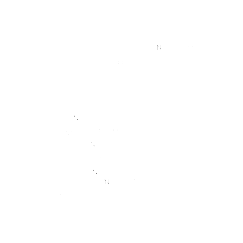 CON=C(C(=O)Nc1cc(C(C)(C)C)nn1-c1cccc(C)c1)c1ccc(OCCN2CCOCC2)c2ccccc12